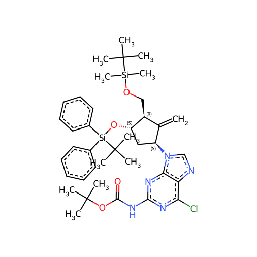 C=C1[C@H](CO[Si](C)(C)C(C)(C)C)[C@@H](O[Si](c2ccccc2)(c2ccccc2)C(C)(C)C)C[C@@H]1n1cnc2c(Cl)nc(NC(=O)OC(C)(C)C)nc21